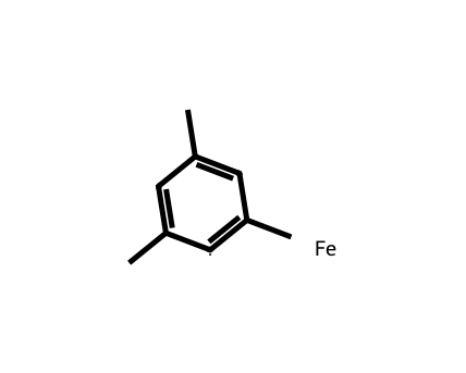 Cc1[c]c(C)cc(C)c1.[Fe]